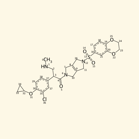 CNCC(C(=O)N1CC2=C(C1)CN(S(=O)(=O)c1ccc3c(c1)OCCO3)C2)c1ccc(OC2CC2)c(Cl)c1